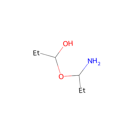 CCC(N)OC(O)CC